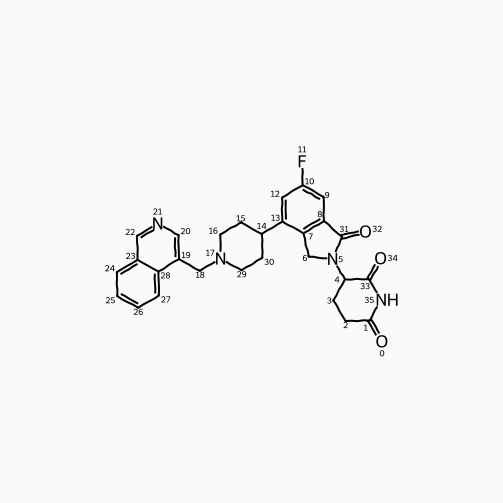 O=C1CCC(N2Cc3c(cc(F)cc3C3CCN(Cc4cncc5ccccc45)CC3)C2=O)C(=O)N1